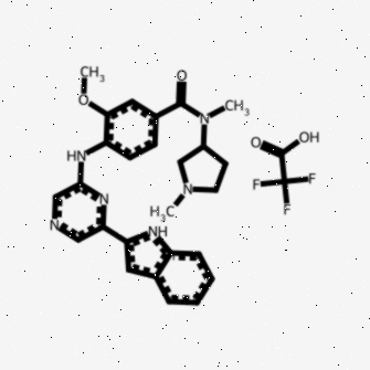 COc1cc(C(=O)N(C)C2CCN(C)C2)ccc1Nc1cncc(-c2cc3ccccc3[nH]2)n1.O=C(O)C(F)(F)F